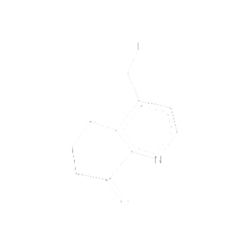 O=C1CCCc2c(CF)ccnc21